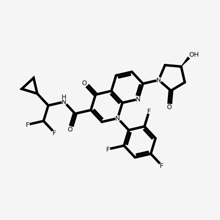 O=C(NC(C(F)F)C1CC1)c1cn(-c2c(F)cc(F)cc2F)c2nc(N3C[C@@H](O)CC3=O)ccc2c1=O